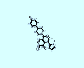 CN(c1cccs1)c1c(C(=O)N2CCC(c3ccc(F)cc3)CC2)cnc(Cl)c1Cl